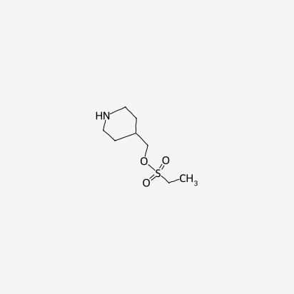 CCS(=O)(=O)OCC1CCNCC1